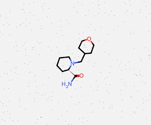 NC(=O)[C@@H]1CCCCN1CC1CCOCC1